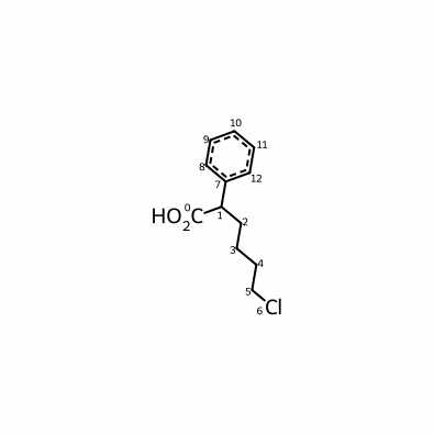 O=C(O)C(CCCCCl)c1ccccc1